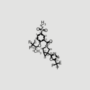 C[C@H](Oc1ccc(S(C)(=O)=O)cc1C(=O)N1CC2CC2(c2nnc(C(F)(F)F)o2)C1)C(F)(F)F